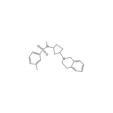 Cc1cccc(S(=O)(=O)N(C)C2CCC(N3CCc4ccccc4C3)C2)c1